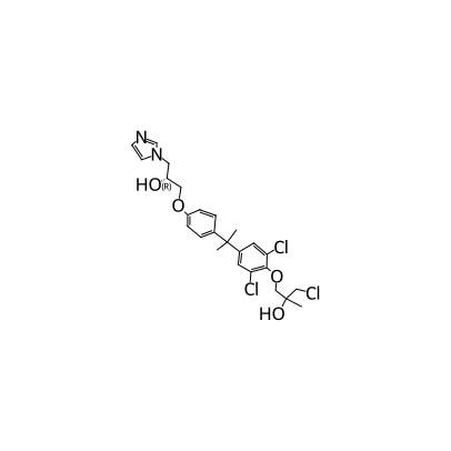 CC(O)(CCl)COc1c(Cl)cc(C(C)(C)c2ccc(OC[C@H](O)Cn3ccnc3)cc2)cc1Cl